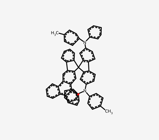 Cc1ccc(N(c2ccccc2)c2ccc3c(c2)C2(c4ccccc4-c4cc5c6ccccc6c6ccccc6c5cc42)c2cc(N(c4ccccc4)c4ccc(C)cc4)ccc2-3)cc1